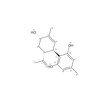 C=C(C)[C@@H]1C[C@H](O)C(C)=C[C@H]1c1c(O)cc(C)cc1O